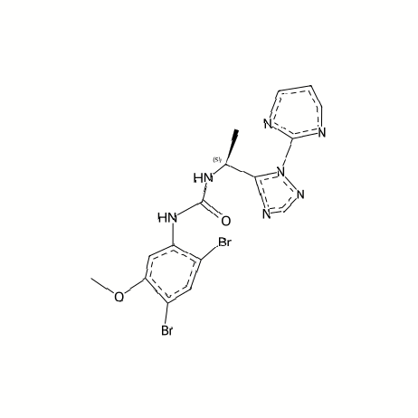 COc1cc(NC(=O)N[C@@H](C)c2ncnn2-c2ncccn2)c(Br)cc1Br